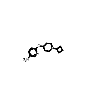 O=[N+]([O-])c1ccc(OC2CCN(C3CCC3)CC2)nc1